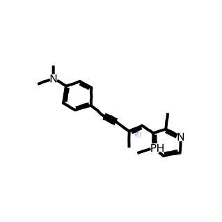 CC1=NC=C[PH](C)=C1/C=C(\C)C#Cc1ccc(N(C)C)cc1